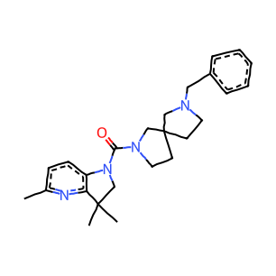 Cc1ccc2c(n1)C(C)(C)CN2C(=O)N1CCC2(CCN(Cc3ccccc3)C2)C1